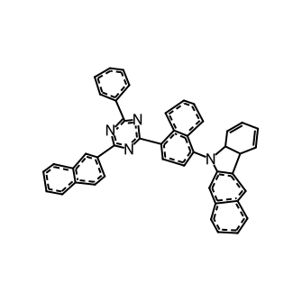 C1=CC2c3cc4ccccc4cc3N(c3ccc(-c4nc(-c5ccccc5)nc(-c5ccc6ccccc6c5)n4)c4ccccc34)C2C=C1